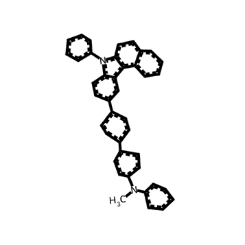 CN(c1ccccc1)c1ccc(-c2ccc(-c3ccc4c(c3)c3c5ccccc5ccc3n4-c3ccccc3)cc2)cc1